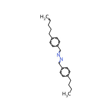 C=CCCCc1ccc(C=NN=Cc2ccc(CCCC)cc2)cc1